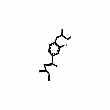 C=CC(=C)/C=C(\C)c1ccc(CC(C)CC)c(Cl)c1